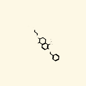 COCCNC1CCc2c(ccc(OCc3ccccc3)c2[N+](=O)[O-])C1O.Cl